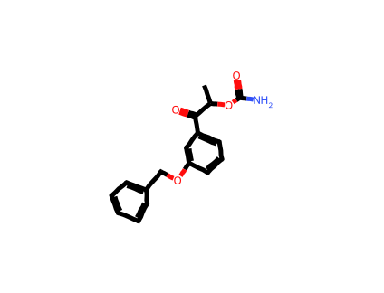 CC(OC(N)=O)C(=O)c1cccc(OCc2ccccc2)c1